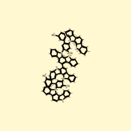 N#Cc1cccc(-c2cc(-n3c4ccccc4c4cc(-c5cc6c7ccccc7n(-c7cc(-c8cccc(C#N)c8)c(-n8c9ccccc9c9ccc%10sc%11ccccc%11c%10c98)cc7C#N)c6c6c5sc5ccccc56)c5c6ccccc6sc5c43)c(C#N)cc2-n2c3ccccc3c3ccc4c5ccccc5sc4c32)c1